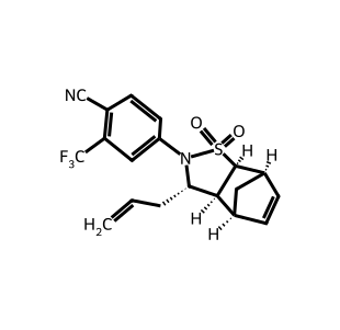 C=CC[C@H]1[C@H]2[C@H]([C@H]3C=C[C@@H]2C3)S(=O)(=O)N1c1ccc(C#N)c(C(F)(F)F)c1